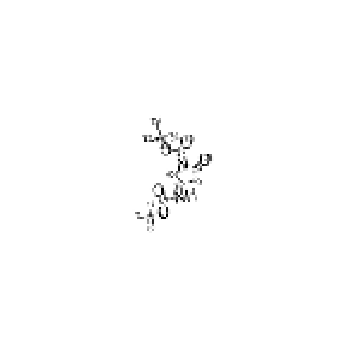 CC(C)(C)OC(=O)NC1CC(=O)N(C(=O)OC(C)(C)C)C1